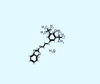 CC(C)(C)c1cc(SCCSc2nc3ccccc3o2)cc(C(C)(C)C)c1O.O